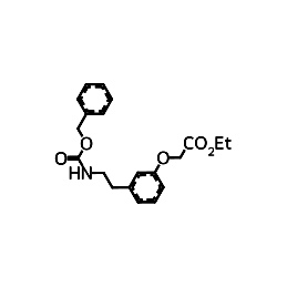 CCOC(=O)COc1cccc(CCNC(=O)OCc2ccccc2)c1